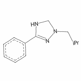 CC(C)CN1CNC(c2ccccc2)=N1